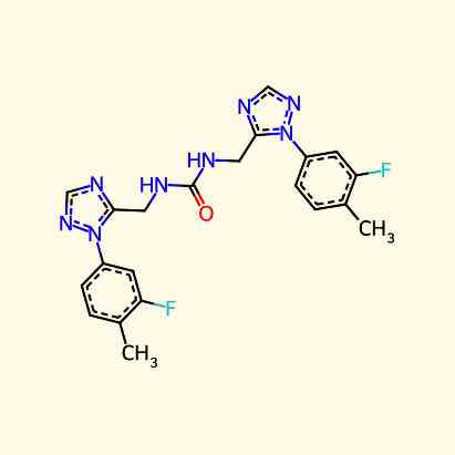 Cc1ccc(-n2ncnc2CNC(=O)NCc2ncnn2-c2ccc(C)c(F)c2)cc1F